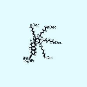 CCCCCCCCCCCCCCCCOC[C@H]1O[C@@](O)(c2ccc(Cl)c(Cc3ccc(C#C[Si](C(C)C)(C(C)C)C(C)C)cc3)c2)[C@H](OCCCCCCCCCCCCCCCC)[C@@H](OCCCCCCCCCCCCCCCC)[C@@H]1OCCCCCCCCCCCCCCCC